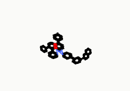 c1ccc(-c2ccc(N(c3ccc(-c4cccc(-c5ccc6ccccc6c5)c4)cc3)c3ccccc3-c3ccccc3-c3ccccc3)cc2)cc1